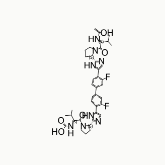 C=C(O)N[C@H](C(=O)N1CCC[C@H]1c1ncc(-c2ccc(-c3ccc(-c4cnc([C@@H]5CCCN5C(=O)[C@@H](NC(=O)O)C(C)C)[nH]4)c(F)c3)cc2F)[nH]1)C(C)C